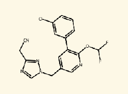 N#CCc1ncn(Cc2cnc(OC(F)F)c(-c3cccc(Cl)c3)c2)n1